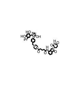 CC(C)c1cc(-c2nnc(O)n2-c2ccc(CN3CCN(C(=O)CCCC(=O)Nc4cccc5c4CN(C4CCC(=O)NC4=O)C5=O)CC3)cc2)c(O)cc1O